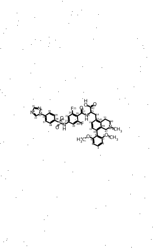 COc1cccc(OC)c1-c1ccc(CC(NC(=O)c2c(F)cc(NS(=O)(=O)c3ccc(-n4cncn4)cc3)cc2F)C(=O)O)c2c1CN(C)CC2